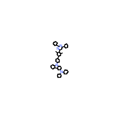 Cc1cc(-c2ccc(-n3c4ccccc4c4cc(N(c5ccccc5)c5ccccc5)ccc43)cc2)cc(C)c1-c1cc(-c2ccccc2)nc(-c2ccccc2)n1